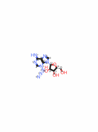 [N-]=[N+]=Nn1cnc(=N)c2ncn([C@@H]3O[C@H](CO)[C@@H](O)[C@H]3O)c21